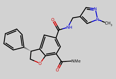 CNC(=O)c1cc(C(=O)NCc2cnn(C)c2)cc2c1OC[C@@H]2c1ccccc1